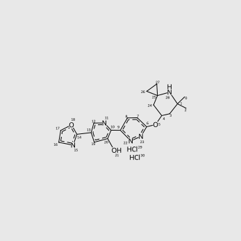 CC1(C)CC(Oc2ccc(-c3ncc(-c4ncco4)cc3O)nn2)CC2(CC2)N1.Cl.Cl